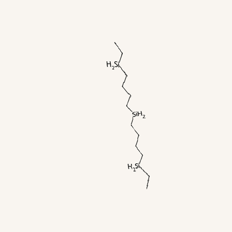 CC[SiH2]CCCC[SiH2]CCCC[SiH2]CC